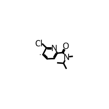 CC(C)N(C)C(=O)c1cc[c]c(Cl)n1